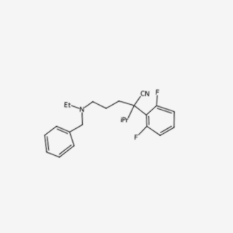 CCN(CCCC(C#N)(c1c(F)cccc1F)C(C)C)Cc1ccccc1